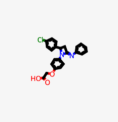 O=C(O)COc1ccc(N2/C(=N/c3ccccc3)CC2c2ccc(Cl)cc2)cc1